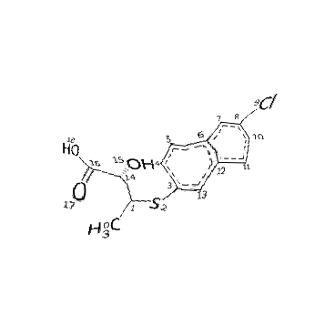 CC(Sc1ccc2cc(Cl)ccc2c1)[C@@H](O)C(=O)O